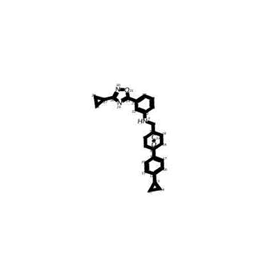 c1cc(NCC23CCC(c4ccc(C5CC5)cc4)(CC2)OC3)cc(-c2nc(C3CC3)no2)c1